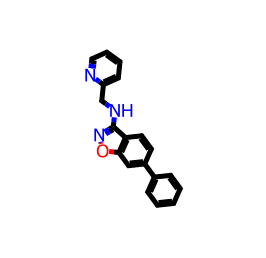 c1ccc(-c2ccc3c(NCc4ccccn4)noc3c2)cc1